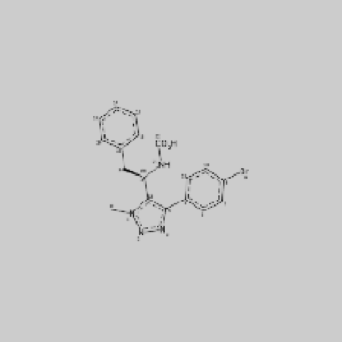 Cn1nnc(-c2ccc(Br)cc2)c1[C@@H](Cc1ccccc1)NC(=O)O